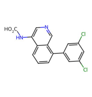 O=C(O)Nc1cncc2c(-c3cc(Cl)cc(Cl)c3)cccc12